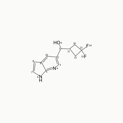 OC(c1cnc2[nH]ccc2c1)C1CC(F)(F)C1